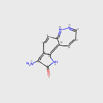 Nc1c(=O)[nH]c2c1ccc1nncccc12